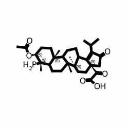 CC(=O)O[C@H]1CC[C@@]2(C)C(CC[C@]3(C)C2CCC2C4=C(C(C)C)C(=O)C[C@]4(C(=O)C(=O)O)CC[C@]23C)[C@]1(C)P